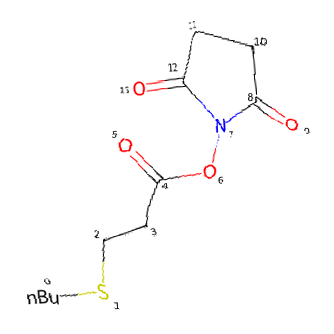 CCCCSCCC(=O)ON1C(=O)CCC1=O